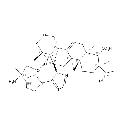 CC(C)[C@@H](C)[C@@]1(C)CC[C@]2(C)[C@H]3CC[C@@H]4[C@@]5(COC[C@@]4(C)[C@@H](OC[C@](C)(N)C(C)C)[C@H](n4ncnc4N4CCCC4)C5)C3=CC[C@@]2(C)[C@@H]1C(=O)O